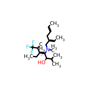 CC=CCC(=CC)CN(C)/C(=C(/CC)C(C)C(F)(F)F)C(O)C(C)C